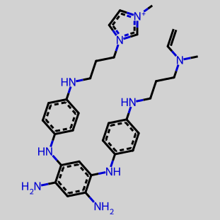 C=CN(C)CCCNc1ccc(Nc2cc(Nc3ccc(NCCCn4cc[n+](C)c4)cc3)c(N)cc2N)cc1